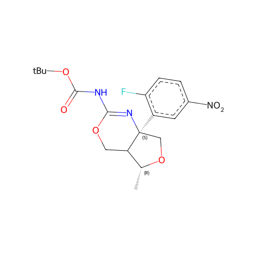 C[C@H]1OC[C@]2(c3cc([N+](=O)[O-])ccc3F)N=C(NC(=O)OC(C)(C)C)OCC12